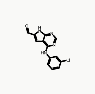 O=Cc1cc2c(Nc3cccc(Cl)c3)ncnc2[nH]1